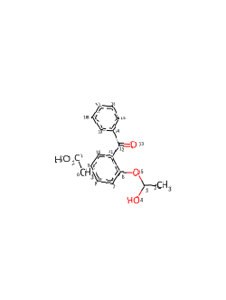 CC(=O)O.CC(O)Oc1ccccc1C(=O)c1ccccc1